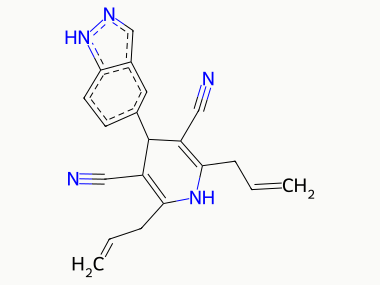 C=CCC1=C(C#N)C(c2ccc3[nH]ncc3c2)C(C#N)=C(CC=C)N1